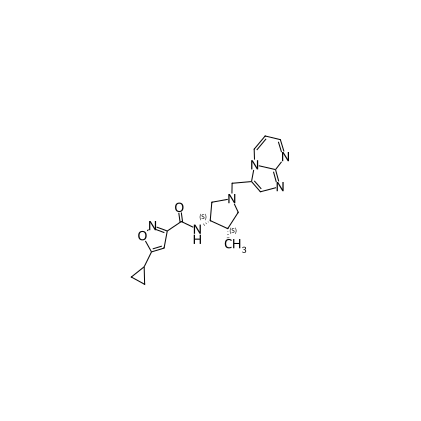 C[C@H]1CN(Cc2cnc3ncccn23)C[C@H]1NC(=O)c1cc(C2CC2)on1